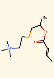 CC=CC(=O)OC(CCCC)CPCC[N+](C)(C)C